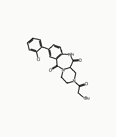 CC(C)(C)CC(=O)N1CCN2C(=O)c3cc(-c4ccccc4Cl)ccc3NC(=O)C2C1